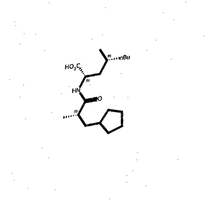 CCCC[C@@H](C)C[C@H](NC(=O)[C@@H](C)CC1CCCC1)C(=O)O